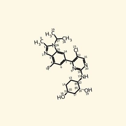 Cc1nc2c(F)cc(-c3nc(N[C@@H]4CC[C@H](O)C[C@H]4O)ncc3Cl)cc2n1C(C)C